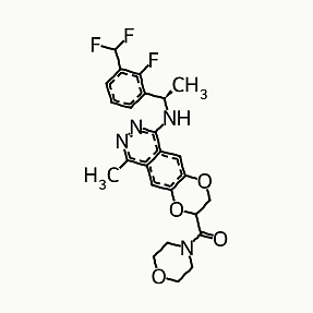 Cc1nnc(N[C@H](C)c2cccc(C(F)F)c2F)c2cc3c(cc12)OC(C(=O)N1CCOCC1)CO3